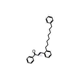 O=C(/C=C/c1ccccc1CCCCCCCCc1ccccc1)c1ccccc1